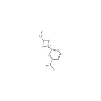 COC1CN(c2cc(C(C)C)ccn2)C1